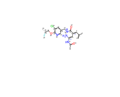 C=C(C)/C=C(\C=C(/N)NC(C)=O)C(=O)NCc1cnc(OC[C@@H](C)F)c(Cl)c1